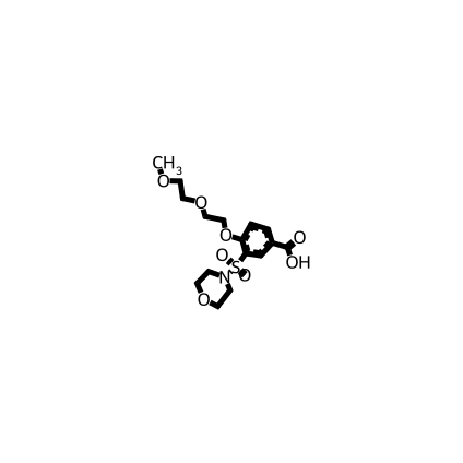 COCCOCCOc1ccc(C(=O)O)cc1S(=O)(=O)N1CCOCC1